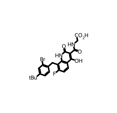 CC(C)(C)c1ccc(Cc2c(F)ccc3c(O)c(C(=O)NCC(=O)O)c(=O)[nH]c23)c(Br)c1